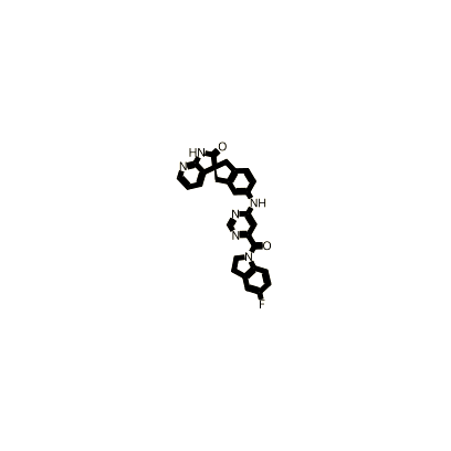 O=C(c1cc(Nc2ccc3c(c2)C[C@]2(C3)C(=O)Nc3ncccc32)ncn1)N1CCc2cc(F)ccc21